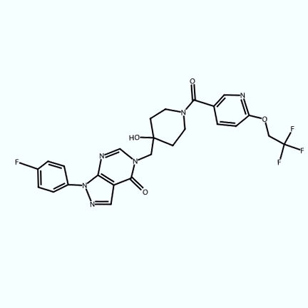 O=C(c1ccc(OCC(F)(F)F)nc1)N1CCC(O)(Cn2cnc3c(cnn3-c3ccc(F)cc3)c2=O)CC1